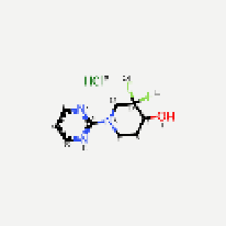 Cl.OC1CCN(c2ncccn2)CC1(F)F